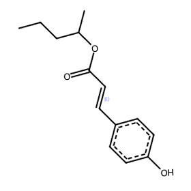 CCCC(C)OC(=O)/C=C/c1ccc(O)cc1